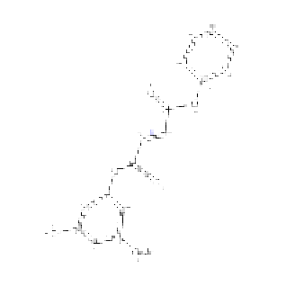 COc1cc(O)cc(OC(=O)/C=C/C(=O)Oc2ccccc2)c1